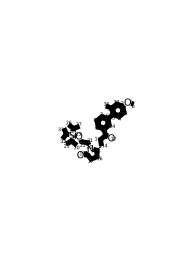 COc1ccc(-c2cccc(C(=O)CC[C@@H]3CCC(=O)N3CCO[Si](C(C)C)(C(C)C)C(C)C)c2)c(C)c1